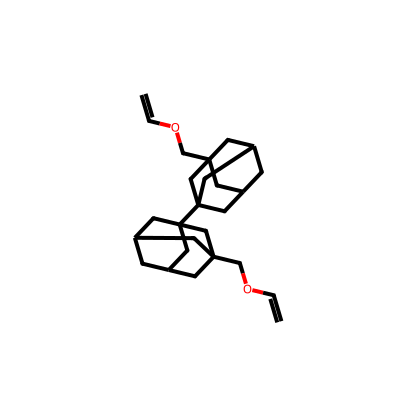 C=COCC12CC3CC(C1)CC(C14CC5CC(CC(COC=C)(C5)C1)C4)(C3)C2